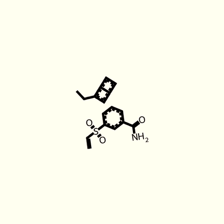 C=CS(=O)(=O)c1cccc(C(N)=O)c1.CCc1cc2ccc1-2